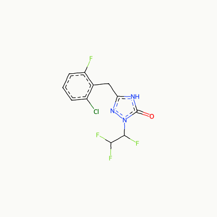 O=c1[nH]c(Cc2c(F)cccc2Cl)nn1C(F)C(F)F